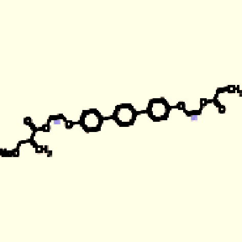 C=CC(=O)O/C=C\Oc1ccc(-c2ccc(-c3ccc(O/C=C\OC(=O)C(=C)COC)cc3)cc2)cc1